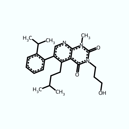 CC(C)CCc1c(-c2ccccc2C(C)C)cnc2c1c(=O)n(CCCO)c(=O)n2C